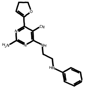 N#Cc1c(NCCNc2ccccc2)nc(N)nc1C1=CCCO1